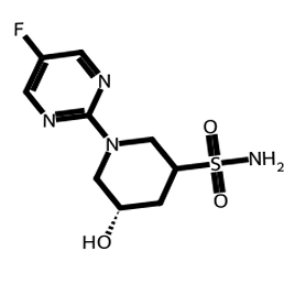 NS(=O)(=O)C1C[C@H](O)CN(c2ncc(F)cn2)C1